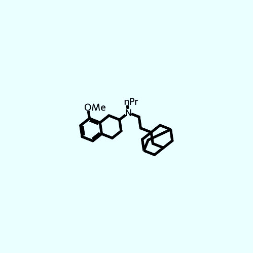 CCCN(CCC12CC3CC(CC(C3)C1)C2)C1CCc2cccc(OC)c2C1